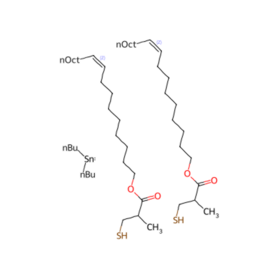 CCCCCCCC/C=C\CCCCCCCCOC(=O)C(C)CS.CCCCCCCC/C=C\CCCCCCCCOC(=O)C(C)CS.CCC[CH2][Sn][CH2]CCC